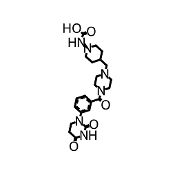 O=C(O)NN1CCC(CN2CCN(C(=O)c3cccc(N4CCC(=O)NC4=O)c3)CC2)CC1